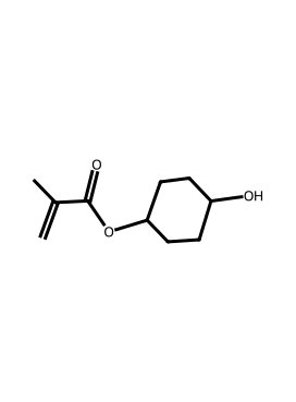 C=C(C)C(=O)OC1CCC(O)CC1